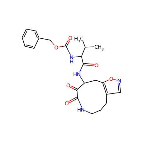 CC(C)C(NC(=O)OCc1ccccc1)C(=O)NC1Cc2oncc2CCCNC(=O)C1=O